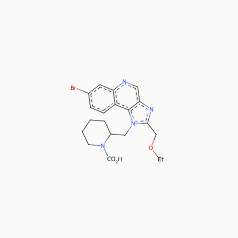 CCOCc1nc2cnc3cc(Br)ccc3c2n1CC1CCCCN1C(=O)O